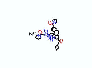 N#CC1CCCN1C(=O)CNCCC1(c2nnn[nH]2)c2ccc(C(=O)C3CCC3)cc2CCc2cc(C(=O)N3CCC3)ccc21